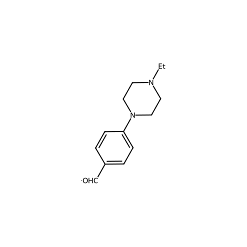 CCN1CCN(c2ccc([C]=O)cc2)CC1